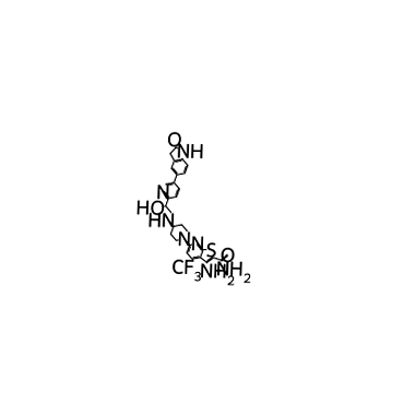 NC(=O)c1sc2nc(N3CCC(NCC(O)c4ccc(-c5ccc6c(c5)CC(=O)N6)cn4)CC3)cc(C(F)(F)F)c2c1N